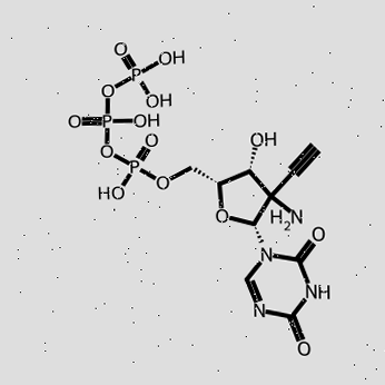 C#CC1(N)[C@@H](O)[C@@H](COP(=O)(O)OP(=O)(O)OP(=O)(O)O)O[C@H]1n1cnc(=O)[nH]c1=O